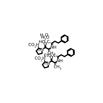 CCOC(=O)[C@H](CCc1ccccc1)N[C@@H](C)C(=O)N1CCC[C@H]1C(=O)O.C[C@H](N[C@@H](CCc1ccccc1)C(=O)O)C(=O)N1CCC[C@H]1C(=O)O.O.O